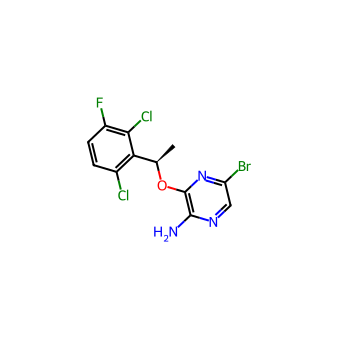 C[C@@H](Oc1nc(Br)cnc1N)c1c(Cl)ccc(F)c1Cl